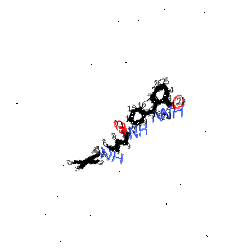 CC(C)(C)CNCCCCC(=O)Nc1cccc(-c2n[nH]c(=O)c3ccccc23)c1